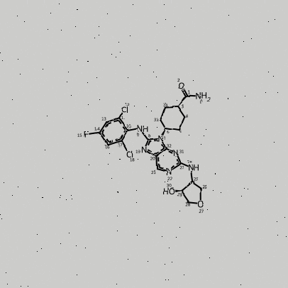 NC(=O)[C@H]1CC[C@@H](n2c(Nc3c(Cl)cc(F)cc3Cl)nc3cnc(NC4COC[C@H]4O)nc32)CC1